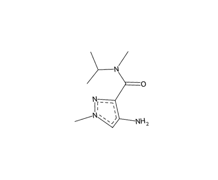 CC(C)N(C)C(=O)c1nn(C)cc1N